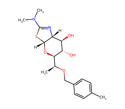 Cc1ccc(CO[C@@H](C)[C@H]2O[C@@H]3SC(N(C)C)=N[C@@H]3[C@@H](O)[C@@H]2O)cc1